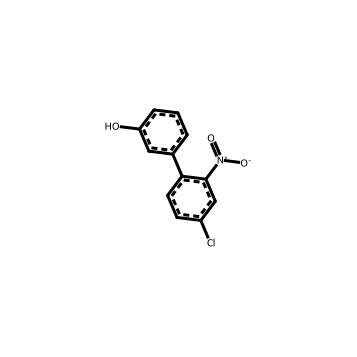 O=[N+]([O-])c1cc(Cl)ccc1-c1cccc(O)c1